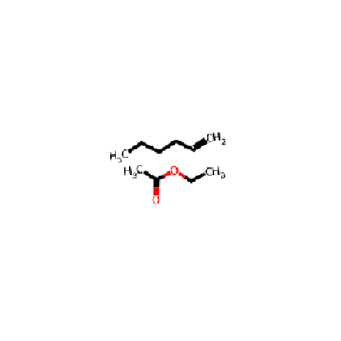 C=CCCCC.CCOC(C)=O